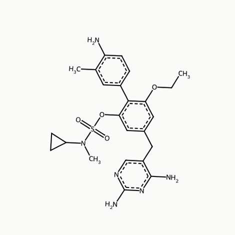 CCOc1cc(Cc2cnc(N)nc2N)cc(OS(=O)(=O)N(C)C2CC2)c1-c1ccc(N)c(C)c1